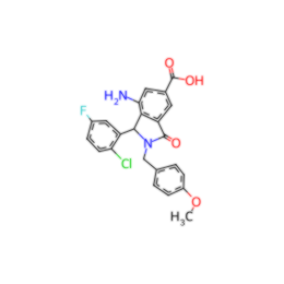 COc1ccc(CN2C(=O)c3cc(C(=O)O)cc(N)c3C2c2cc(F)ccc2Cl)cc1